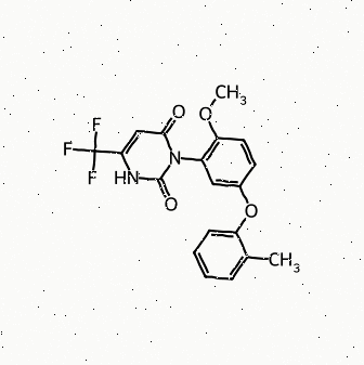 COc1ccc(Oc2ccccc2C)cc1-n1c(=O)cc(C(F)(F)F)[nH]c1=O